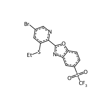 CCSc1cc(Br)cnc1-c1nc2cc(S(=O)(=O)C(F)(F)F)ccc2o1